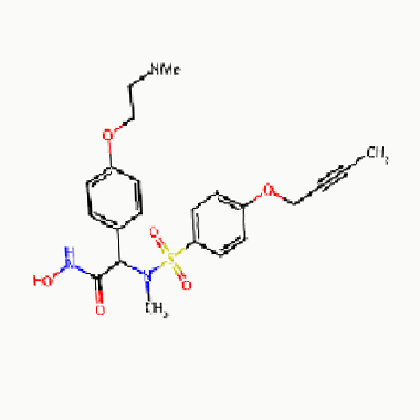 CC#CCOc1ccc(S(=O)(=O)N(C)C(C(=O)NO)c2ccc(OCCNC)cc2)cc1